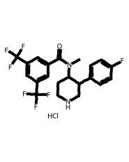 CN(C(=O)c1cc(C(F)(F)F)cc(C(F)(F)F)c1)C1CCNCC1c1ccc(F)cc1.Cl